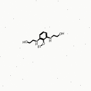 CCOc1c(NCCO)cccc1NCCO